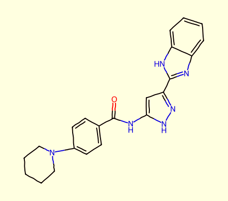 O=C(Nc1cc(-c2nc3ccccc3[nH]2)n[nH]1)c1ccc(N2CCCCC2)cc1